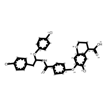 O=C(NC(Cc1ccc(Cl)cc1)Oc1ccc(Cl)cc1)c1ccc(Oc2cc3c(cc2Cl)C(C(=O)O)CCO3)cc1